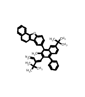 C=C/C(=C\c1c(C)c(-c2ccc3oc4c5ccccc5ccc4c3c2)c2cc(C(C)(C)C)ccc2c1-c1ccccc1)C(C)(C)C